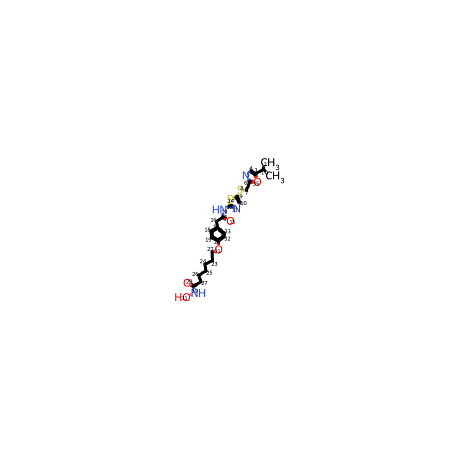 CC(C)c1cnc(CSc2cnc(NC(=O)Cc3ccc(OCCCCCCC(=O)NO)cc3)s2)o1